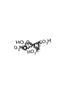 O=C(O)CNCC(CCCc1ccc([N+](=O)[O-])cc1)N1CCN(CC(=O)O)CCN(CC(=O)O)CC1